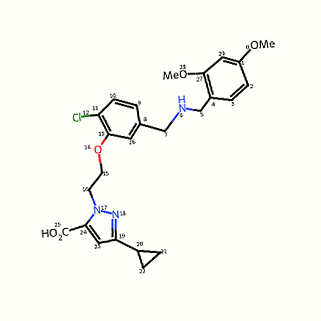 COc1ccc(CNCc2ccc(Cl)c(OCCn3nc(C4CC4)cc3C(=O)O)c2)c(OC)c1